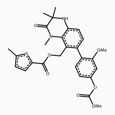 COC(=O)Oc1ccc(-c2ccc3c(c2COC(=O)c2ccc(C)s2)N(C)C(=O)C(C)(C)N3)c(OC)c1